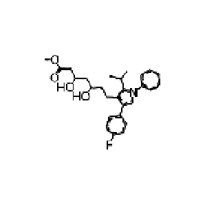 COC(=O)CC(O)CC(O)CCc1c(-c2ccc(F)cc2)cn(-c2ccccc2)c1C(C)C